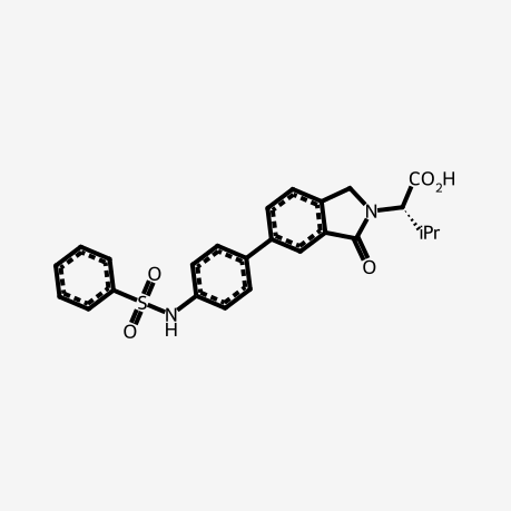 CC(C)[C@@H](C(=O)O)N1Cc2ccc(-c3ccc(NS(=O)(=O)c4ccccc4)cc3)cc2C1=O